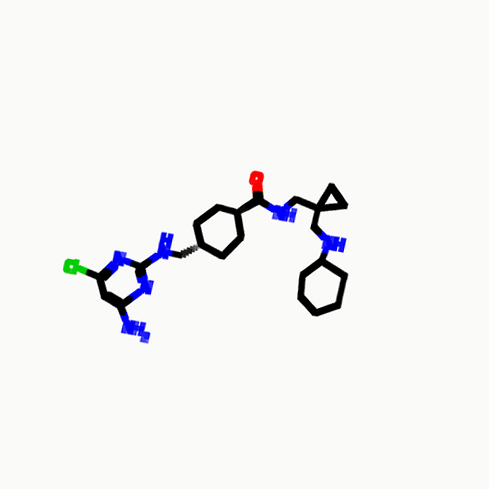 Nc1cc(Cl)nc(NC[C@H]2CC[C@H](C(=O)NCC3(CNC4CCCCC4)CC3)CC2)n1